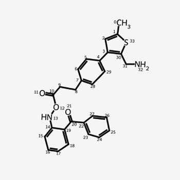 Cc1cc(-c2ccc(CCC(=O)ONc3ccccc3C(=O)c3ccccc3)cc2)c(CN)s1